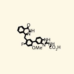 COc1cc(F)c(Cc2n[nH]c(=O)c3ccccc23)cc1-c1ccc2[nH]c(NC(=O)O)nc2c1